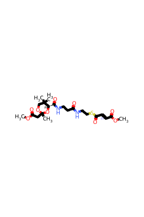 COC(=O)/C=C/C(=O)SCCNC(=O)CCNC(=O)[C@@H]1OC(C)(CC(=O)OC)OCC1(C)C